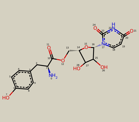 N[C@@H](Cc1ccc(O)cc1)C(=O)OC[C@@H]1O[C@H](n2ccc(=O)[nH]c2=O)C(O)C1O